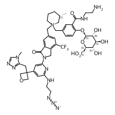 C[C@H]1CCC[N+](Cc2ccc(O[C@@H]3O[C@H](C(=O)O)[C@@H](O)[C@H](O)[C@H]3O)c(C(=O)NCCN)c2)(Cc2cc3c(c(C(F)(F)F)c2)CN(c2cc(C4(Cc5nncn5C)COC4)cc(NCCN=[N+]=[N-])n2)C3=O)C1